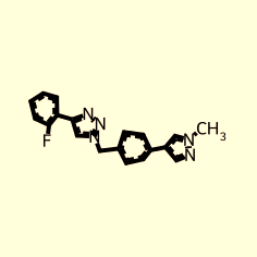 Cn1cc(-c2ccc(Cn3cc(-c4ccccc4F)nn3)cc2)cn1